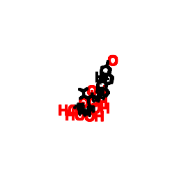 CC(C)C(C)C(C(O)[C@@H](C)[C@H]1CCC2=C3C=CC4=CC(C=O)CC[C@]4(C)[C@H]3CC[C@@]21C)C1(O)O[C@H](CO)[C@@H](O)[C@H](O)[C@H]1O